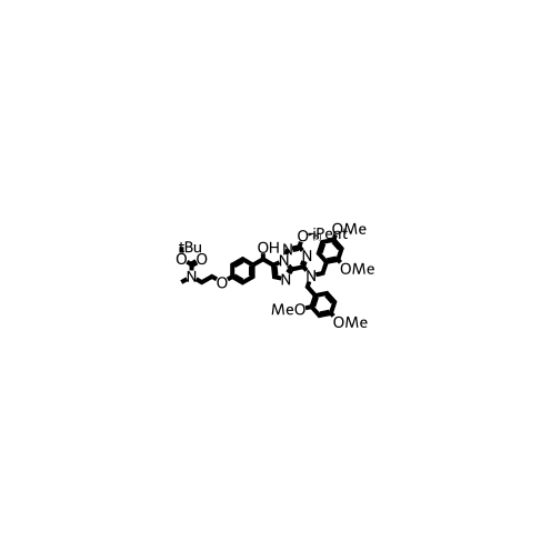 CCC[C@H](C)Oc1nc(N(Cc2ccc(OC)cc2OC)Cc2ccc(OC)cc2OC)c2ncc(C(O)c3ccc(OCCN(C)C(=O)OC(C)(C)C)cc3)n2n1